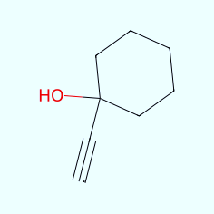 [C]#CC1(O)CCCCC1